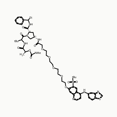 CCC(NC(=O)[C@@H]1C[C@H](NC(=O)COCCOCCOCCOCCOc2cc3nccc(Nc4ccc5scnc5c4)c3cc2S(=O)(=O)C(C)(C)C)CN1C(=O)C(NC(=O)C(C)OC(=O)NC)C(C)(C)C)c1ccccc1